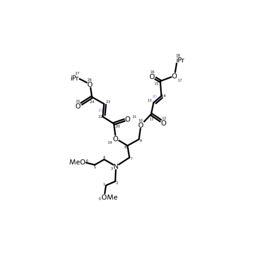 COCCN(CCOC)CC(COC(=O)/C=C/C(=O)OC(C)C)OC(=O)/C=C/C(=O)OC(C)C